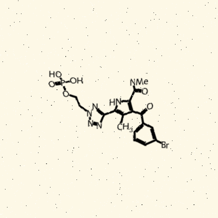 CNC(=O)c1[nH]c(-c2nnn(CCOP(=O)(O)O)n2)c(C)c1C(=O)c1cccc(Br)c1